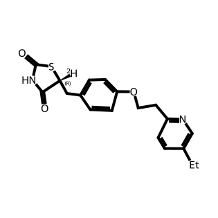 [2H][C@]1(Cc2ccc(OCCc3ccc(CC)cn3)cc2)SC(=O)NC1=O